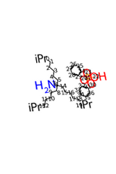 CC(C)CCCCCC(N)(CCCCCC(C)C)CCCCCC(C)C.O=P(O)(Oc1ccccc1)Oc1ccccc1